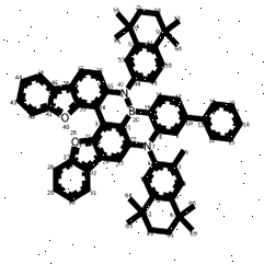 Cc1cc2c(cc1N1c3cc(-c4ccccc4)ccc3B3c4c1cc1c(oc5ccccc51)c4-c1c(ccc4c1oc1ccccc14)N3c1ccc3c(c1)C(C)(C)CCC3(C)C)C(C)(C)CCC2(C)C